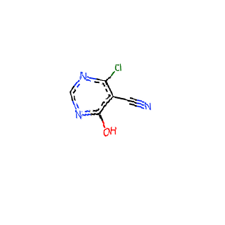 N#Cc1c(O)ncnc1Cl